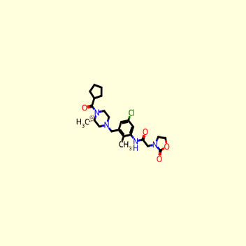 Cc1c(CN2CCN(C(=O)C3CCCC3)[C@@H](C)C2)cc(Cl)cc1NC(=O)CN1CCOC1=O